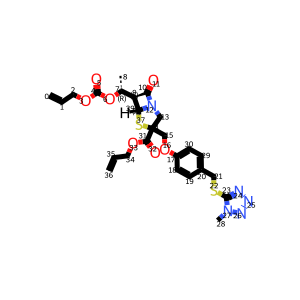 C=CCOC(=O)O[C@H](C)[C@H]1C(=O)N2CC(COc3ccc(CSc4nnnn4C)cc3)(C(=O)OCC=C)S[C@H]12